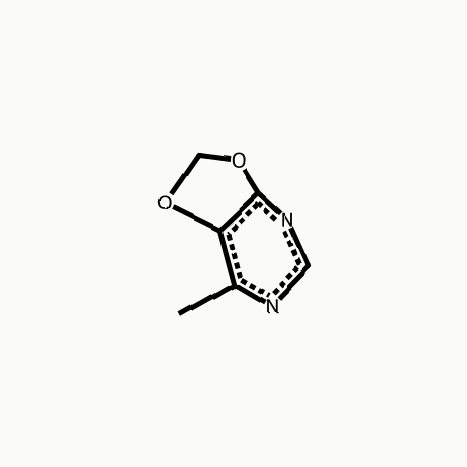 Cc1ncnc2c1OCO2